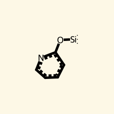 [Si]Oc1ccccn1